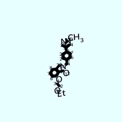 CCOCCOc1cccc2c1C(=O)N(Cc1ccc(-c3cnn(C)c3)cc1)C2